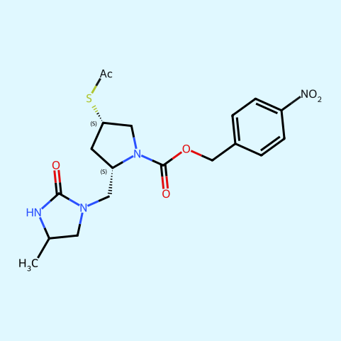 CC(=O)S[C@H]1C[C@@H](CN2CC(C)NC2=O)N(C(=O)OCc2ccc([N+](=O)[O-])cc2)C1